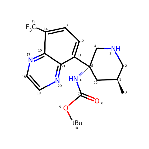 C[C@@H]1CNC[C@](NC(=O)OC(C)(C)C)(c2ccc(C(F)(F)F)c3nccnc23)C1